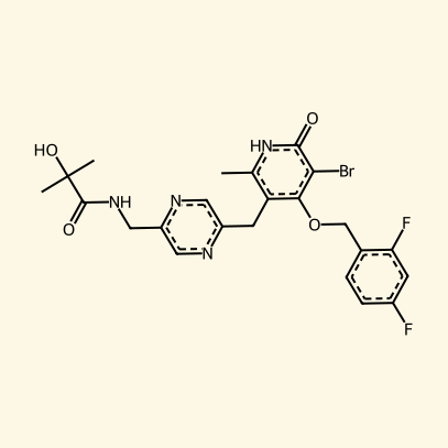 Cc1[nH]c(=O)c(Br)c(OCc2ccc(F)cc2F)c1Cc1cnc(CNC(=O)C(C)(C)O)cn1